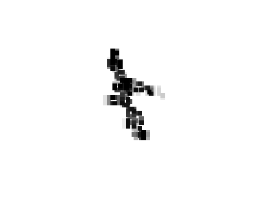 Cc1c(C(=O)NC2CCNCC2)ccc(-c2ccc(C[C@H](NC(=O)C3CCC(CN)CC3)C(=O)Nc3ccc(-c4nn[nH]n4)cc3)cc2)c1C.Cl